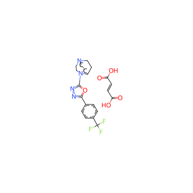 FC(F)(F)c1ccc(-c2nnc(N3CCN4CCC3CC4)o2)cc1.O=C(O)/C=C/C(=O)O